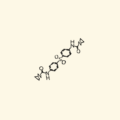 O=C(Nc1ccc(S(=O)(=O)c2ccc(NC(=O)N3CC3)cc2)cc1)N1CC1